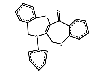 O=C1C2=C(CSc3ccccc31)N(c1ccccc1)Cc1ccccc1O2